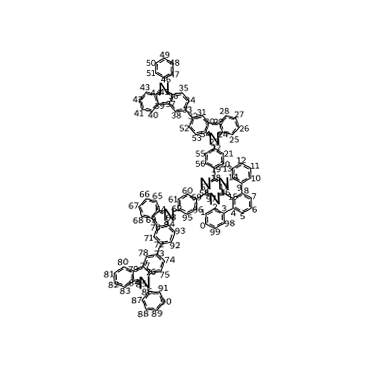 c1ccc(-c2cccc(-c3ccccc3)c2-c2nc(-c3ccc(-n4c5ccccc5c5cc(-c6ccc7c(c6)c6ccccc6n7-c6ccccc6)ccc54)cc3)nc(-c3ccc(-n4c5ccccc5c5cc(-c6ccc7c(c6)c6ccccc6n7-c6ccccc6)ccc54)cc3)n2)cc1